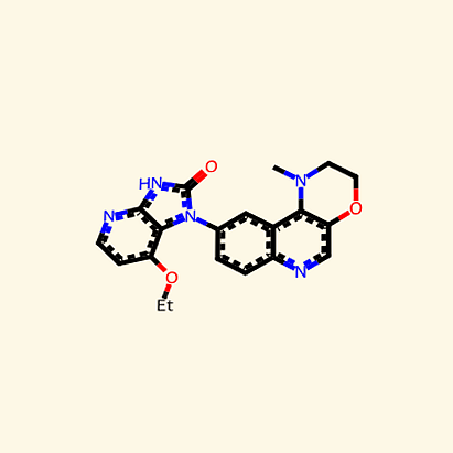 CCOc1ccnc2[nH]c(=O)n(-c3ccc4ncc5c(c4c3)N(C)CCO5)c12